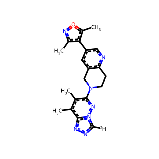 [2H]c1nnc2c(C)c(C)c(N3CCc4ncc(-c5c(C)noc5C)cc4C3)nn12